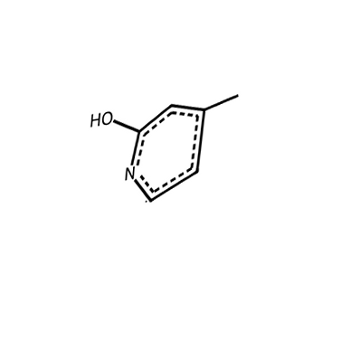 Cc1c[c]nc(O)c1